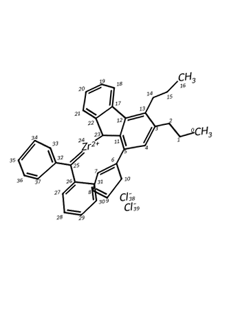 CCCc1cc(C2=CC=CC2)c2c(c1CCC)-c1ccccc1[CH]2[Zr+2]=[C](c1ccccc1)c1ccccc1.[Cl-].[Cl-]